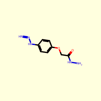 N=NNc1ccc(OCC(=O)NN)cc1